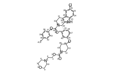 O=C(OCCN1CCOCC1)N1CCC(Oc2ccc([C@H]3c4[nH]c5ccc(Cl)cc5c4CCN3C(=O)Oc3ccc(I)cc3)cc2)CC1